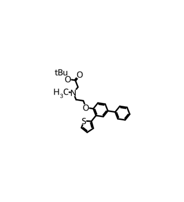 CN(CCOc1ccc(-c2ccccc2)cc1-c1cccs1)CC(=O)OC(C)(C)C